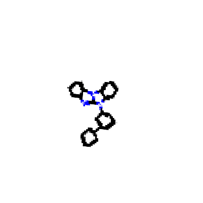 c1ccc(-c2cccc(-n3c4ccccc4n4c5ccccc5nc34)c2)cc1